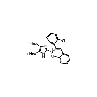 CCCCCCc1nc(BC(=Cc2ccccc2Cl)c2ccccc2Cl)[nH]c1CCCCCC